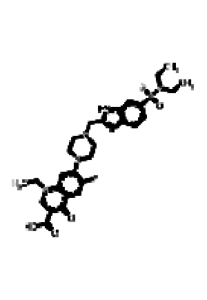 CCN(CC)S(=O)(=O)c1ccc2nc(CN3CCN(c4cc5c(cc4F)c(=O)c(C(=O)O)cn5CC)CC3)[nH]c2c1